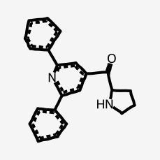 O=C(c1cc(-c2ccccc2)nc(-c2ccccc2)c1)C1CCCN1